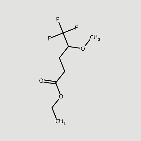 CCOC(=O)CCC(OC)C(F)(F)F